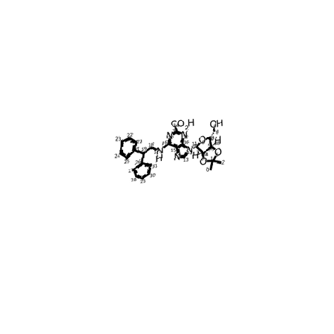 CC1(C)O[C@@H]2[C@H](O1)[C@@H](CO)O[C@H]2n1cnc2c(NCC(c3ccccc3)c3ccccc3)nc(C(=O)O)nc21